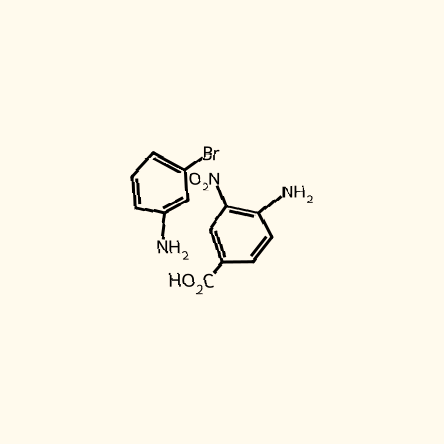 Nc1ccc(C(=O)O)cc1[N+](=O)[O-].Nc1cccc(Br)c1